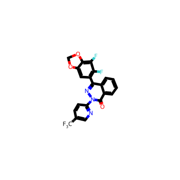 O=c1c2ccccc2c(-c2cc3c(c(F)c2F)OCO3)nn1-c1ccc(C(F)(F)F)cn1